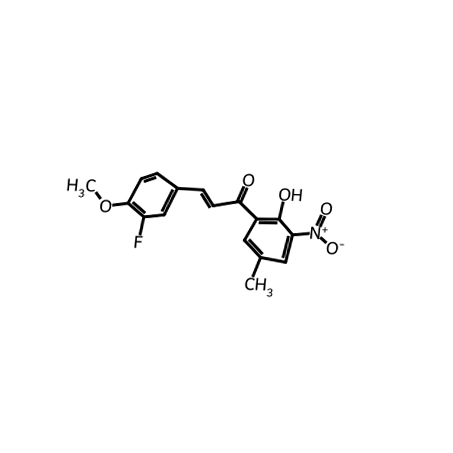 COc1ccc(C=CC(=O)c2cc(C)cc([N+](=O)[O-])c2O)cc1F